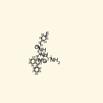 NCCC[C@@H]1N[C@H](CNC(=O)C=Cc2ccc(F)cc2)CCN(CC(c2ccccc2)c2ccccc2)C1=O